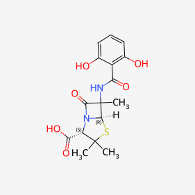 CC1(C)S[C@H]2N(C(=O)C2(C)NC(=O)c2c(O)cccc2O)[C@H]1C(=O)O